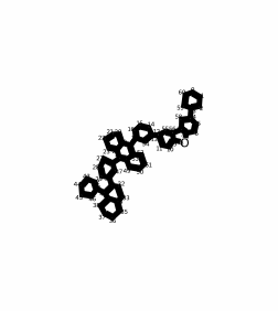 c1ccc(-c2ccc3oc4ccc(-c5cccc(-c6c7ccccc7c(-c7cccc(-c8ccc9ccccc9c8-c8ccccc8)c7)c7ccccc67)c5)cc4c3c2)cc1